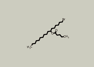 CCCCCCCCCCC(CCCCCCBr)OC(=O)CCCC